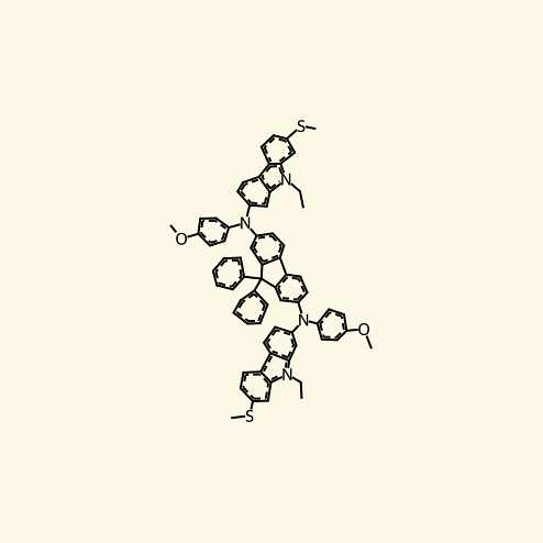 CCn1c2cc(SC)ccc2c2ccc(N(c3ccc(OC)cc3)c3ccc4c(c3)C(c3ccccc3)(c3ccccc3)c3cc(N(c5ccc(OC)cc5)c5ccc6c7ccc(SC)cc7n(CC)c6c5)ccc3-4)cc21